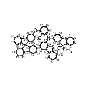 CC1(C)c2ccccc2-c2ccc(N(c3cccc4c3Oc3cc5c(cc3O4)-c3ccccc3C53c4ccccc4-c4ccccc43)c3cccc4c3sc3ccccc34)cc21